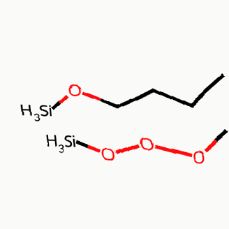 CCCCO[SiH3].COOO[SiH3]